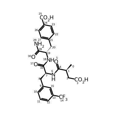 C[C@@H](CC(=O)O)C(=O)N[C@@H](Cc1cccc(C(F)(F)F)c1)C(=O)N[C@@H](Cc1ccc(C(=O)O)cc1)C(N)=O